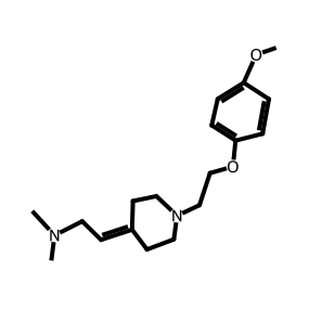 COc1ccc(OCCN2CCC(=CCN(C)C)CC2)cc1